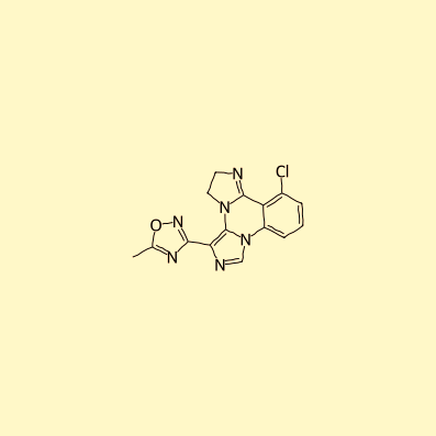 Cc1nc(-c2ncn3c2N2CCN=C2c2c(Cl)cccc2-3)no1